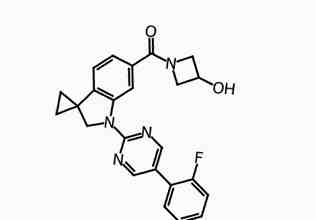 O=C(c1ccc2c(c1)N(c1ncc(-c3ccccc3F)cn1)CC21CC1)N1CC(O)C1